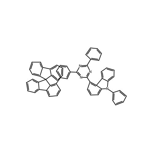 c1ccc(-c2nc(-c3cccc(-c4cccc5c4C4(c6ccccc6-c6ccccc64)c4ccccc4-5)c3)nc(-c3cccc4c3c3ccccc3n4-c3ccccc3)n2)cc1